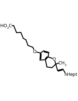 CCCCCCC/C=C/C1(C)CCc2cc(OCCCCCCCC(=O)O)ccc2O1